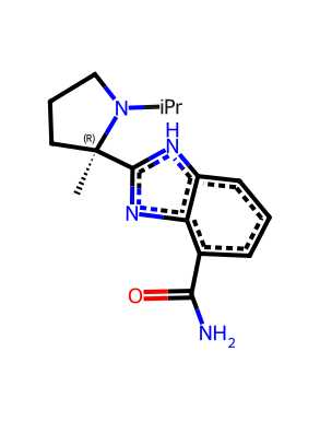 CC(C)N1CCC[C@]1(C)c1nc2c(C(N)=O)cccc2[nH]1